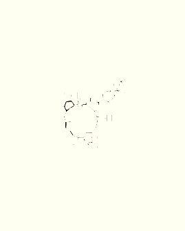 COc1cc2cc(c1Cl)N(C)C(=O)CC(OC(=O)C1CCN(C(=O)OC(C)(C)C)CC1)[C@@](C)(O)C[C@H](C)C1CC(NC(=O)O1)C(OC)/C=C/C=C(\C)C2